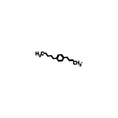 [CH2]C=CCc1ccc(CCCCC)cc1